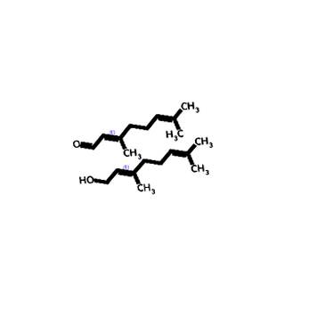 CC(C)=CCC/C(C)=C/C=O.CC(C)=CCC/C(C)=C/CO